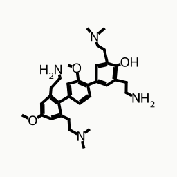 COc1cc(CCN)c(-c2ccc(-c3cc(CCN)c(O)c(CCN(C)C)c3)c(OC)c2)c(CCN(C)C)c1